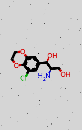 N[C@H](CO)[C@H](O)c1cc(Cl)c2c(c1)OCCO2